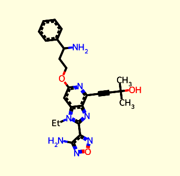 CCn1c(-c2nonc2N)nc2c(C#CC(C)(C)O)nc(OCCC(N)c3ccccc3)cc21